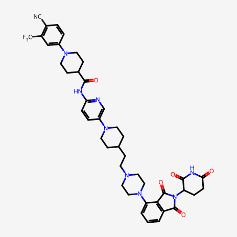 N#Cc1ccc(N2CCC(C(=O)Nc3ccc(N4CCC(CCN5CCN(c6cccc7c6C(=O)N(C6CCC(=O)NC6=O)C7=O)CC5)CC4)cn3)CC2)cc1C(F)(F)F